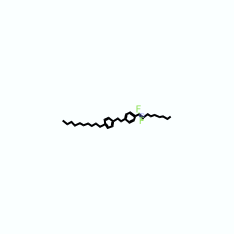 CCCCCCCCCCc1ccc(CCc2ccc(/C(F)=C(\F)CCCCCCC)cc2)cc1